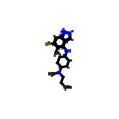 COCCN(C)C1CCC(Nc2c(C)c(Br)cc3[nH]ncc23)CC1